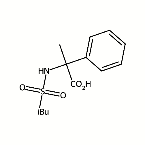 CCC(C)S(=O)(=O)NC(C)(C(=O)O)c1ccccc1